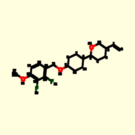 C=CC1CCC(C2CCC(OCc3ccc(OCC)c(F)c3F)CC2)OC1